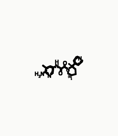 Cc1cc(NC(=O)C(=O)N2C[C@@H](C)CC[C@@]2(C)c2ccncc2)cnc1N